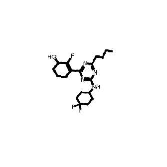 CCCCc1nc(NC2CCC(F)(F)CC2)nc(C2=C(F)C(O)CCC2)n1